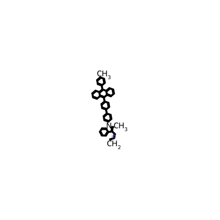 C=C/C=C\c1c(C)n(-c2ccc(-c3ccc(-c4c5ccccc5c(-c5ccc(C)cc5)c5ccccc45)cc3)cc2)c2ccccc12